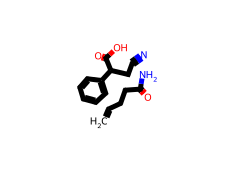 C=CCCC(N)=O.N#CCC(C(=O)O)c1ccccc1